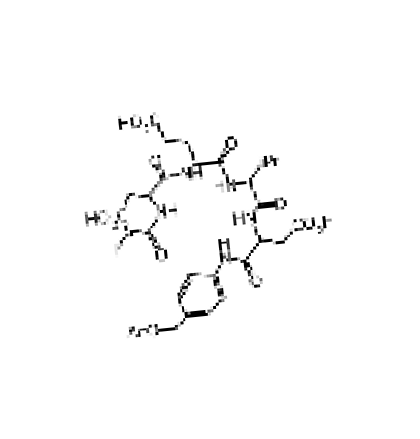 CC(=O)OCc1ccc(NC(=O)C(CC(=O)O)NC(=O)C(NC(=O)C(CCC(=O)O)NC(=O)C(CC(=O)O)NC(=O)SI)C(C)C)cc1